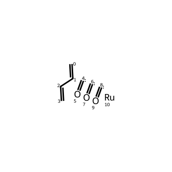 C=CC=C.[C]=O.[C]=O.[C]=O.[Ru]